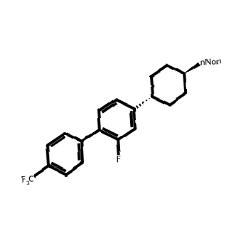 CCCCCCCCC[C@H]1CC[C@H](c2ccc(-c3ccc(C(F)(F)F)cc3)c(F)c2)CC1